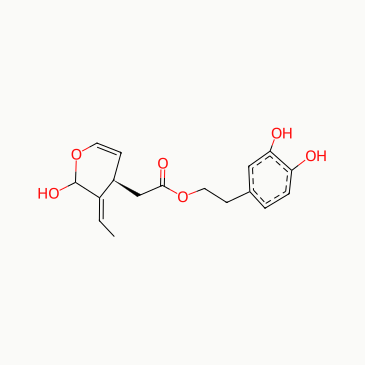 C/C=C1/C(O)OC=C[C@H]1CC(=O)OCCc1ccc(O)c(O)c1